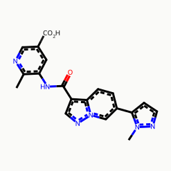 Cc1ncc(C(=O)O)cc1NC(=O)c1cnn2cc(-c3ccnn3C)ccc12